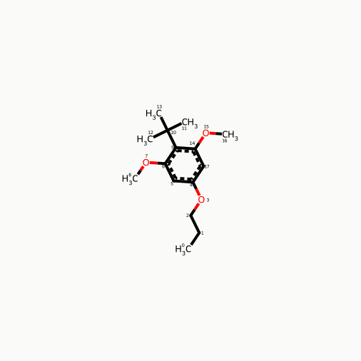 CCCOc1cc(OC)c(C(C)(C)C)c(OC)c1